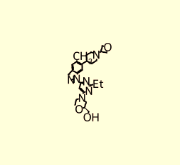 CCc1nc(N2CCO[C@H](CO)C2)cc(-n2ncc3cc(C)c(C4CCN(C5COC5)CC4)cc32)n1